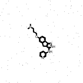 CN(C)CCCOc1ccc2c(c1)Cc1c-2n[nH]c1Nc1cccnc1